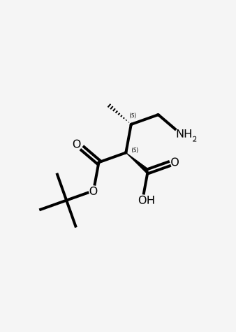 C[C@H](CN)[C@@H](C(=O)O)C(=O)OC(C)(C)C